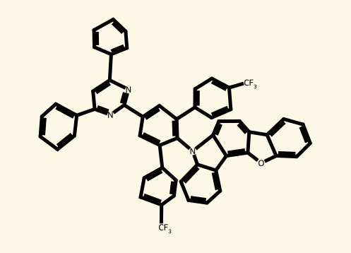 FC(F)(F)c1ccc(-c2cc(-c3nc(-c4ccccc4)cc(-c4ccccc4)n3)cc(-c3ccc(C(F)(F)F)cc3)c2-n2c3ccccc3c3c4oc5ccccc5c4ccc32)cc1